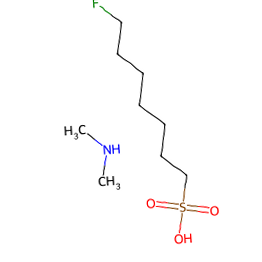 CNC.O=S(=O)(O)CCCCCCCF